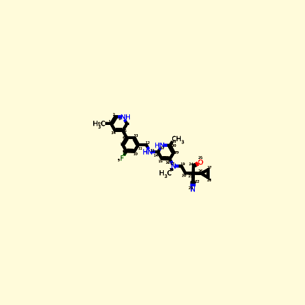 CC1=CNCC(c2cc(F)cc(CNC3C=C(N(C)CCC(C#N)(C=O)C4CC4)C=C(C)N3)c2)=C1